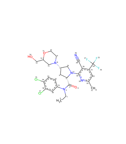 CCN(C(=O)[C@@H]1C[C@H](N2CCOC(CO)C2)CN1c1nc(C)cc(C(F)(F)F)c1C#N)c1ccc(Cl)c(Cl)c1